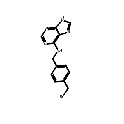 BrCc1ccc(CNc2ncnc3[nH]cnc23)cc1